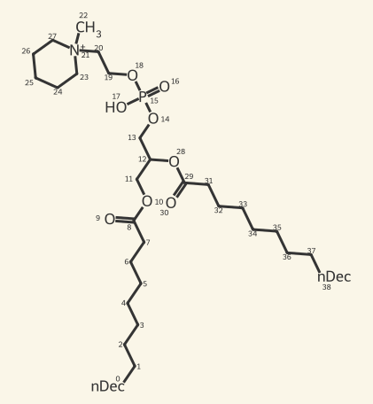 CCCCCCCCCCCCCCCCCC(=O)OCC(COP(=O)(O)OCC[N+]1(C)CCCCC1)OC(=O)CCCCCCCCCCCCCCCCC